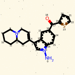 Nn1cc(C2=CCN3CCCCC3C2)c2cc(C(=O)c3cccs3)ccc21